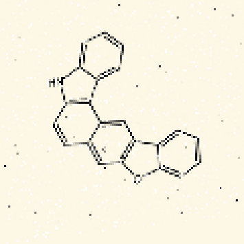 c1ccc2c(c1)[nH]c1ccc3cc4oc5ccccc5c4cc3c12